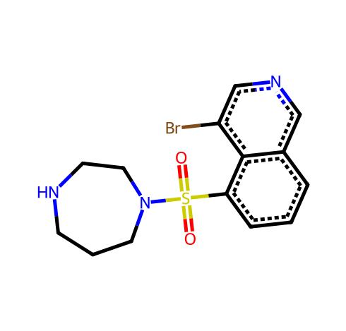 O=S(=O)(c1cccc2cncc(Br)c12)N1CCCNCC1